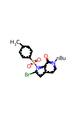 CCCCn1ccc2cc(Br)n(S(=O)(=O)c3ccc(C)cc3)c2c1=O